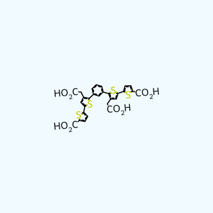 O=C(O)Cc1cc(-c2ccc(C(=O)O)s2)sc1-c1cccc(-c2sc(-c3ccc(C(=O)O)s3)cc2CC(=O)O)c1